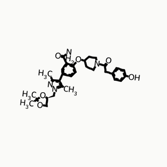 Cc1nn(C[C@H]2COC(C)(C)O2)c(C)c1-c1ccc(OC2CCN(C(=O)Cc3ccc(O)cc3)CC2)c(C(N)=O)c1